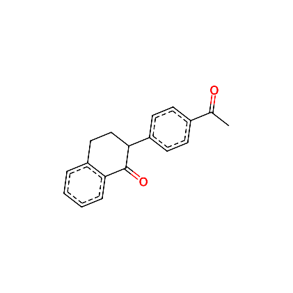 CC(=O)c1ccc(C2CCc3ccccc3C2=O)cc1